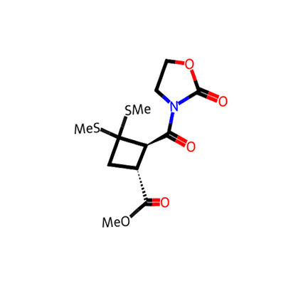 COC(=O)[C@@H]1CC(SC)(SC)[C@H]1C(=O)N1CCOC1=O